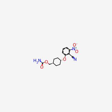 N#Cc1c(O[C@H]2CC[C@H](COC(N)=O)CC2)cccc1[N+](=O)[O-]